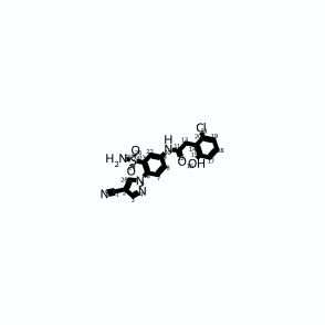 N#Cc1cnn(-c2ccc(NC(=O)Cc3c(O)cccc3Cl)cc2S(N)(=O)=O)c1